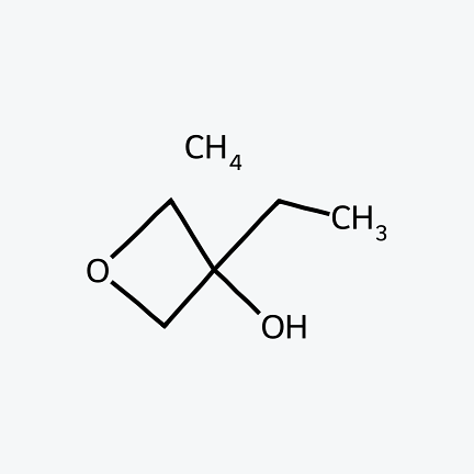 C.CCC1(O)COC1